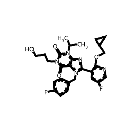 CC(C)n1c(=O)n(CCCO)c(=O)c2c1nc(-c1cc(F)cnc1OCC1CC1)n2Cc1ccc(F)cc1